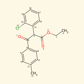 CCOC(=O)C(C(=O)c1ccc(C)cc1)c1ccccc1Cl